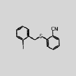 N#Cc1ccccc1SCc1ccccc1I